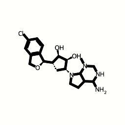 CN1CNC(N)C2CCN([C@@H]3C[C@H]([C@H]4OCc5cc(Cl)ccc54)[C@@H](O)[C@H]3O)C21